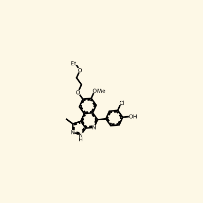 CCOCCOc1cc2c(cc1OC)c(-c1ccc(O)c(Cl)c1)nc1[nH]nc(C)c12